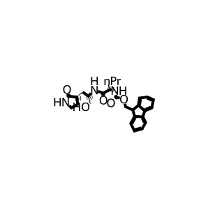 CCC[C@H](NC(=O)OCC1c2ccccc2-c2ccccc21)C(=O)N[C@H](CO)C[C@@H]1CCNC1=O